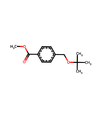 COC(=O)c1ccc(COC(C)(C)C)cc1